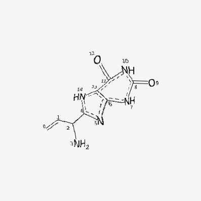 C=CC(N)c1nc2[nH]c(=O)[nH]c(=O)c2[nH]1